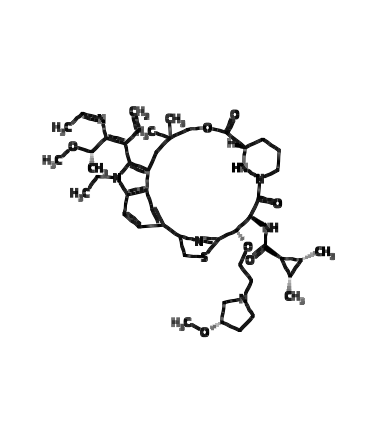 C=C/C(=C(\N=C/C)[C@H](C)OC)c1c2c3cc(ccc3n1CC)C1CSC(=N1)[C@@H](OCCN1CC[C@H](OC)C1)[C@H](NC(=O)[C@H]1[C@H](C)[C@@H]1C)C(=O)N1CCC[C@H](N1)C(=O)OCC(C)(C)C2